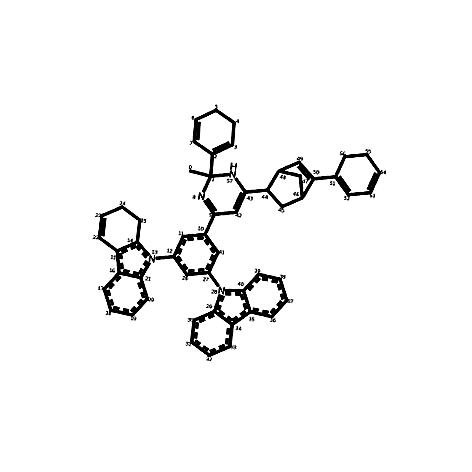 CC1(C2=CCCC=C2)N=C(c2cc(-n3c4c(c5ccccc53)C=CCC4)cc(-n3c4ccccc4c4ccccc43)c2)C=C(C2CC3CC2C=C3C2=CC=CCC2)N1